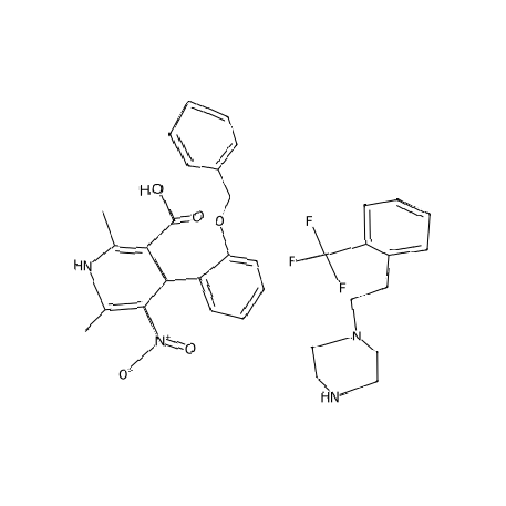 CC1=C(C(=O)O)C(c2ccccc2OCc2ccccc2)C([N+](=O)[O-])=C(C)N1.FC(F)(F)c1ccccc1CCN1CCNCC1